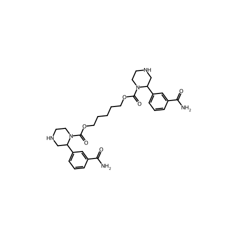 NC(=O)c1cccc(C2CNCCN2C(=O)OCCCCCOC(=O)N2CCNCC2c2cccc(C(N)=O)c2)c1